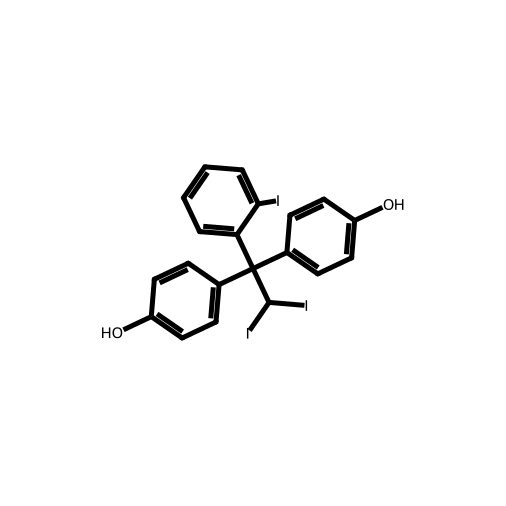 Oc1ccc(C(c2ccc(O)cc2)(c2ccccc2I)C(I)I)cc1